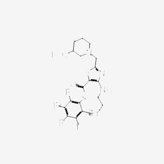 CC(C)CCNc1nc(CN2CCCC(C)C2)sc1C(=O)Oc1c(F)c(F)c(F)c(F)c1F